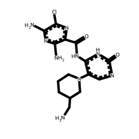 NCC1CCCN(c2cnc(=O)[nH]c2NC(=O)c2nc(Cl)c(N)nc2N)C1